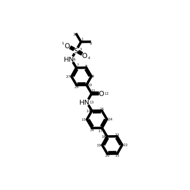 CC(C)S(=O)(=O)Nc1ccc(C(=O)Nc2ccc(-c3ccccc3)cc2)cc1